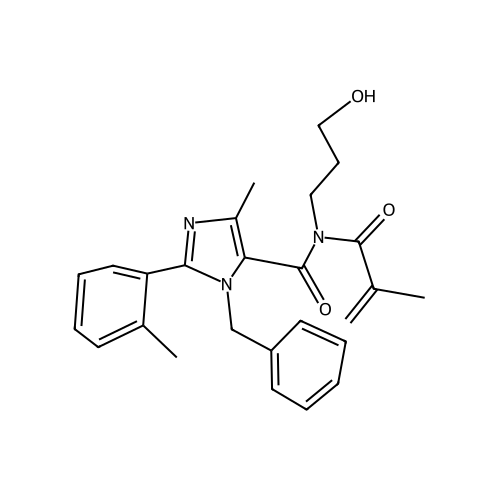 C=C(C)C(=O)N(CCCO)C(=O)c1c(C)nc(-c2ccccc2C)n1Cc1ccccc1